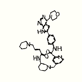 O=C(/C=C/CN1CCCCC1)N[C@@H]1CCCN(Cc2ccnc(C(=O)Nc3ccc(-c4cc5c(N6CCOCC6)ncnc5[nH]4)cc3)c2)C1